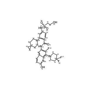 O=C(Nc1cc2ccc(O)nc2c(N2CCC(F)(F)CC2)c1F)c1ccc(NS(=O)(=O)CCO)cc1N1CCC2(CC1)CC2